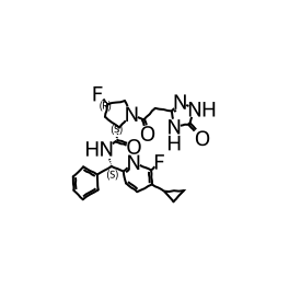 O=C(N[C@@H](c1ccccc1)c1ccc(C2CC2)c(F)n1)[C@@H]1C[C@@H](F)CN1C(=O)Cc1n[nH]c(=O)[nH]1